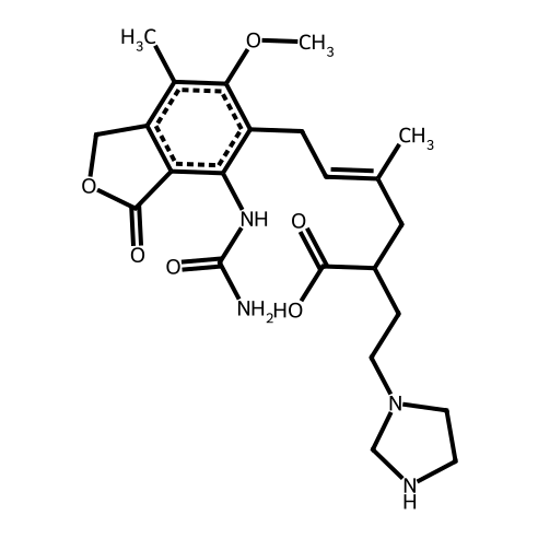 COc1c(C)c2c(c(NC(N)=O)c1C/C=C(\C)CC(CCN1CCNC1)C(=O)O)C(=O)OC2